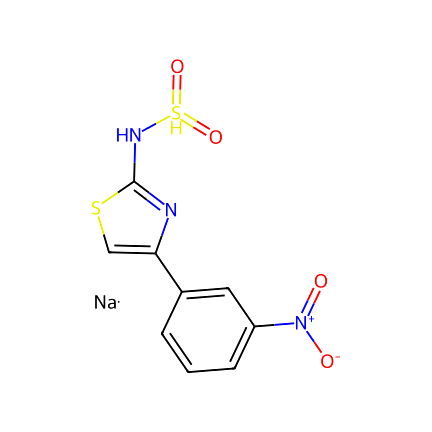 O=[N+]([O-])c1cccc(-c2csc(N[SH](=O)=O)n2)c1.[Na]